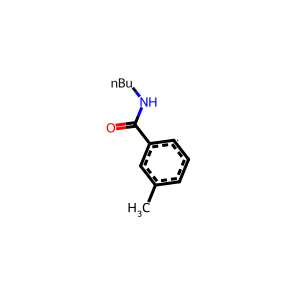 CCCCNC(=O)c1[c]ccc(C)c1